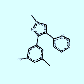 Cc1cc(O)cc(-c2nn(C)cc2-c2ccncn2)c1